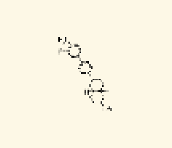 CCCC1CC[C@@H]2C[C@H](c3ccc(-c4ccc(C(F)(F)F)c(F)c4)cc3)CC[C@@H]2C1